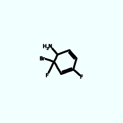 NC1C=CC(F)=CC1(F)Br